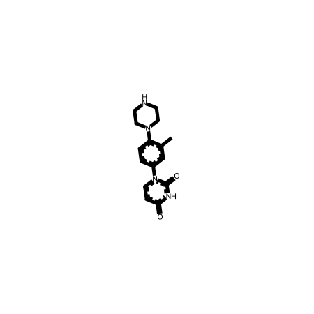 Cc1cc(-n2ccc(=O)[nH]c2=O)ccc1N1CCNCC1